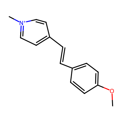 COc1ccc(/C=C/c2cc[n+](C)cc2)cc1